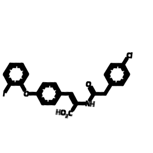 O=C(Cc1ccc(Cl)cc1)NC(=Cc1ccc(Oc2ccccc2I)cc1)C(=O)O